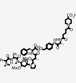 CC[C@H](C)[C@@H]([C@@H](CC(=O)N1CCC[C@H]1[C@H](OC)[C@@H](C)C(=O)N[C@@H](Cc1ccccc1)C(=O)NOCc1ccc(NC(=O)[C@@H](C)NC(=O)CCCC(=O)N2CCC(C(=O)O)CC2)cc1)OC)N(C)C(=O)[C@@H](NC(=O)C(C(C)C)N(C)C)C(C)C